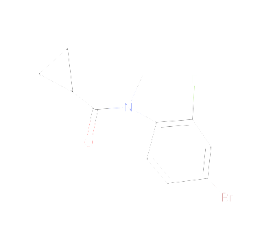 CN(C(=O)C1CC1)c1ccc(Br)cc1F